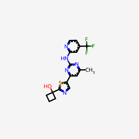 Cc1cc(-c2cnc(C3(O)CCC3)s2)nc(Nc2cc(C(F)(F)F)ccn2)n1